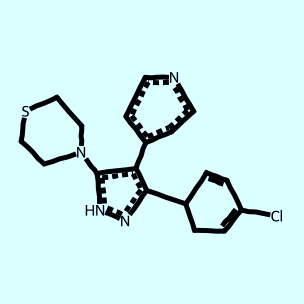 ClC1=CCC(c2n[nH]c(N3CCSCC3)c2-c2ccncc2)C=C1